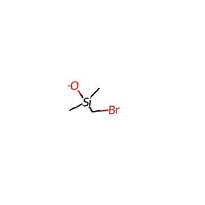 C[Si](C)([O])CBr